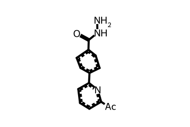 CC(=O)c1cccc(-c2ccc(C(=O)NN)cc2)n1